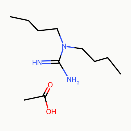 CC(=O)O.CCCCN(CCCC)C(=N)N